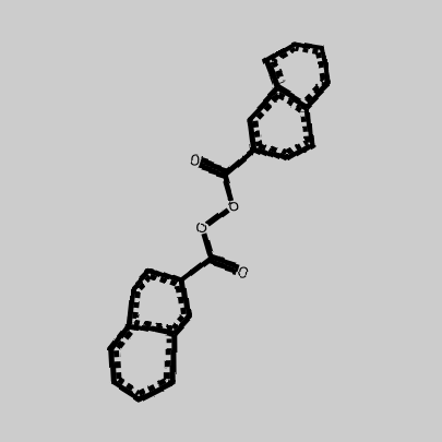 O=C(OOC(=O)c1ccc2ccccc2c1)c1ccc2ccccc2c1